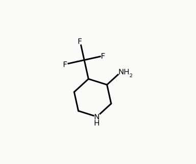 NC1CNCCC1C(F)(F)F